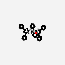 O=P1(c2ccccc2)N(c2nc(-c3ccccc3)cc(-c3ccccc3)n2)c2ccccc2N1c1nc(-c2ccccc2)cc(-c2ccccc2)n1